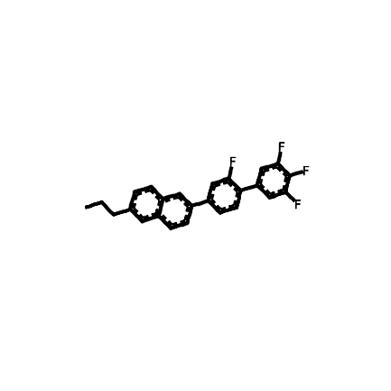 CCCc1ccc2cc(-c3ccc(-c4cc(F)c(F)c(F)c4)c(F)c3)ccc2c1